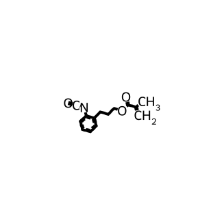 C=C(C)C(=O)OCCCc1ccccc1N=C=O